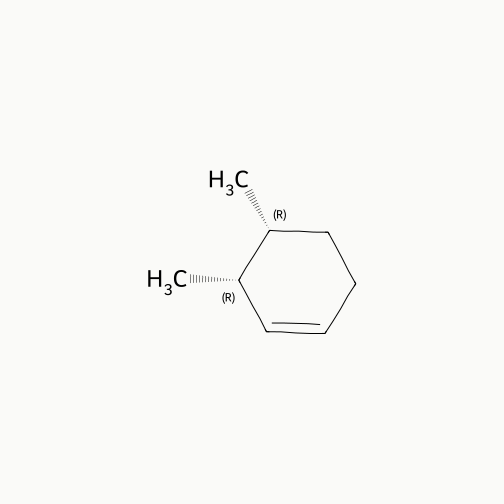 C[C@@H]1CCC=C[C@@H]1C